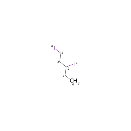 CCC(I)CCI